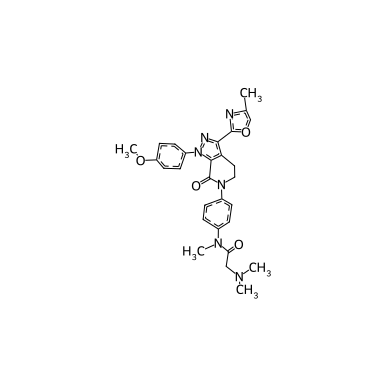 COc1ccc(-n2nc(-c3nc(C)co3)c3c2C(=O)N(c2ccc(N(C)C(=O)CN(C)C)cc2)CC3)cc1